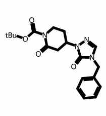 CC(C)(C)OC(=O)N1CCC(n2ncn(Cc3ccccc3)c2=O)CC1=O